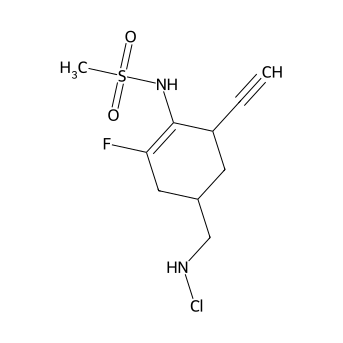 C#CC1CC(CNCl)CC(F)=C1NS(C)(=O)=O